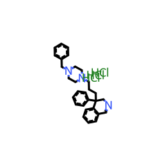 C1=NCC(CCCN2CCN(Cc3ccccc3)CC2)(c2ccccc2)c2ccccc21.Cl.Cl.Cl